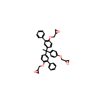 CC(c1ccc(OCC2CO2)cc1)(c1ccc(OCC2CO2)c(-c2ccccc2)c1)c1ccc(OCC2CO2)c(-c2ccccc2)c1